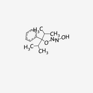 CC(C)C(ON=NO)(c1ccccc1)C(C)C